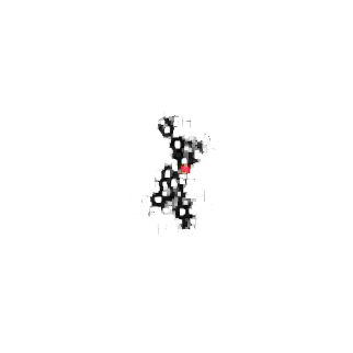 Cc1cc(-n2nc3c(c2N2C(=O)C(C)N(c4ccc5c(cnn5C)c4F)C2=O)[C@H](C)N(C(=O)c2cc4cc([C@H]5CCOC(C)(C)C5)ccc4n2[C@@]2(c4noc(=O)[nH]4)C[C@@H]2C)CC3)cc(C)c1F